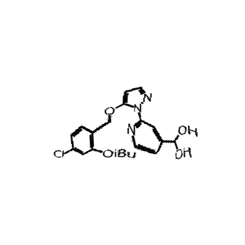 CC(C)COc1cc(Cl)ccc1COc1ccnn1-c1cc(C(O)O)ccn1